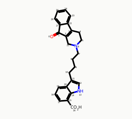 O=C1C2=C(CCN(CCCCc3c[nH]c4c(C(=O)O)cccc34)C2)c2ccccc21